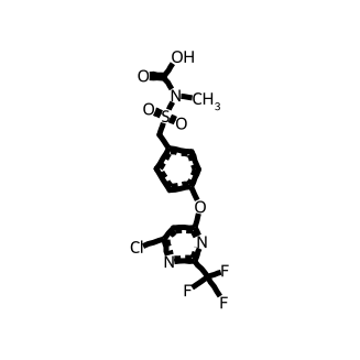 CN(C(=O)O)S(=O)(=O)Cc1ccc(Oc2cc(Cl)nc(C(F)(F)F)n2)cc1